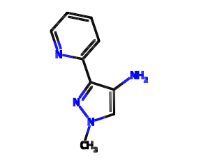 Cn1cc(N)c(-c2ccccn2)n1